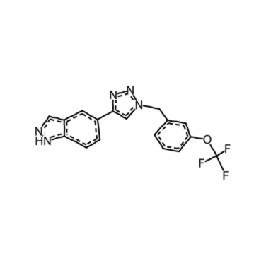 FC(F)(F)Oc1cccc(Cn2cc(-c3ccc4[nH]ncc4c3)nn2)c1